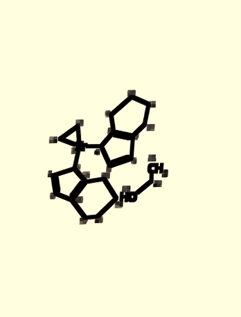 C1=C[CH]([Zr]2([CH]3C=CC4=C3CCCC4)[CH2][CH2]2)C2=C1CCCC2.CCO